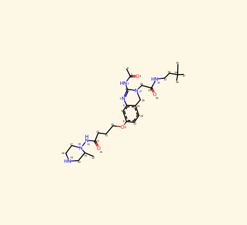 CC(=O)NC1=Nc2cc(OCCCC(=O)NN3CCNCC3C)ccc2CN1CC(=O)NCCC(C)(C)C